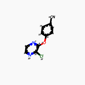 N#Cc1ccc(Oc2nccnc2Cl)cc1